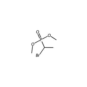 COP(=O)(OC)C(C)Br